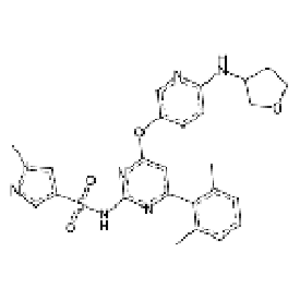 Cc1cccc(C)c1-c1cc(Oc2ccc(NC3CCOC3)nc2)nc(NS(=O)(=O)c2cnn(C)c2)n1